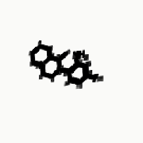 CC1C2CCCCN2CCN1c1ccc(F)cc1N